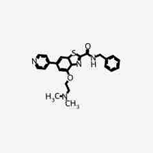 CN(C)CCOC1=CC(c2ccncc2)=CC2SC(C(=O)NCc3ccccc3)=NC12